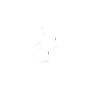 C=N/C=C1/NC=N/C1=N/C